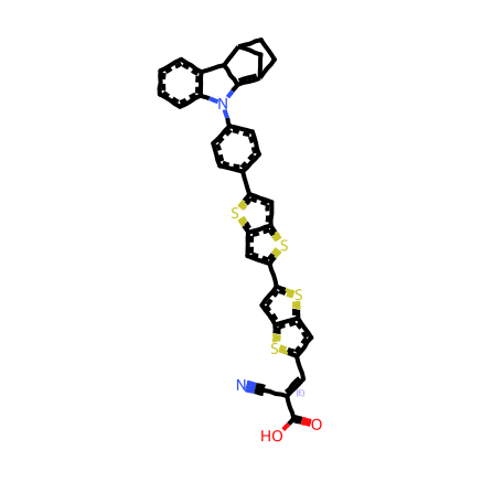 N#C/C(=C\c1cc2sc(-c3cc4sc(-c5ccc(N6C7=C8CCC(C8)C7c7ccccc76)cc5)cc4s3)cc2s1)C(=O)O